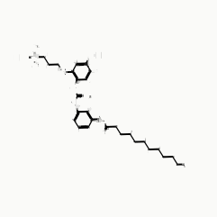 CCCCCCCCCCCC(=O)Nc1cccc(NC(=O)Oc2ccc(O)cc2NCCCS(=O)(=O)O)c1